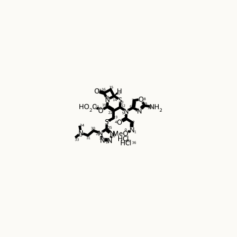 CO/N=C\C(=O)N(c1coc(N)n1)C1S[C@H]2CC(=O)N2C(OC(=O)O)=C1CSc1nnnn1CCN(C)C.Cl.Cl